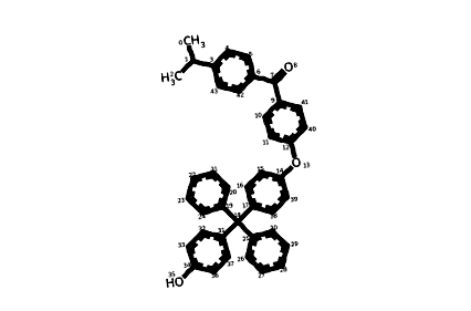 CC(C)c1ccc(C(=O)c2ccc(Oc3ccc(C(c4ccccc4)(c4ccccc4)c4ccc(O)cc4)cc3)cc2)cc1